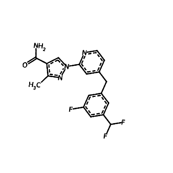 Cc1nn(-c2cc(Cc3cc(F)cc(C(F)F)c3)ccn2)cc1C(N)=O